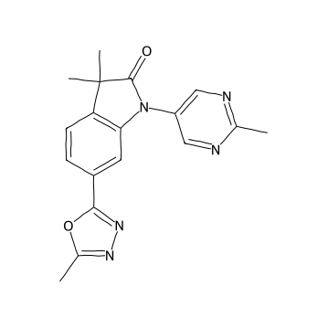 Cc1ncc(N2C(=O)C(C)(C)c3ccc(-c4nnc(C)o4)cc32)cn1